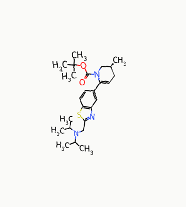 CC(C)N(Cc1nc2cc(C3=CC[C@H](C)CN3C(=O)OC(C)(C)C)ccc2s1)C(C)C